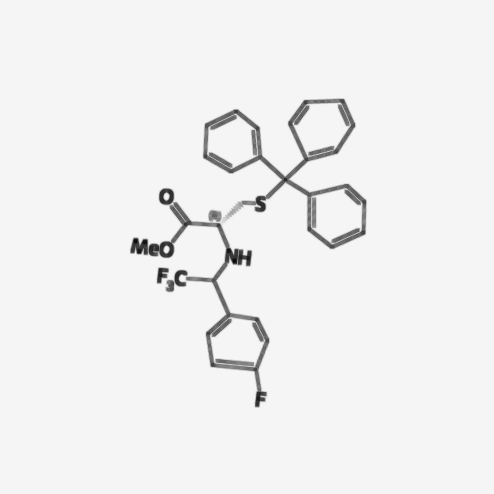 COC(=O)[C@H](CSC(c1ccccc1)(c1ccccc1)c1ccccc1)NC(c1ccc(F)cc1)C(F)(F)F